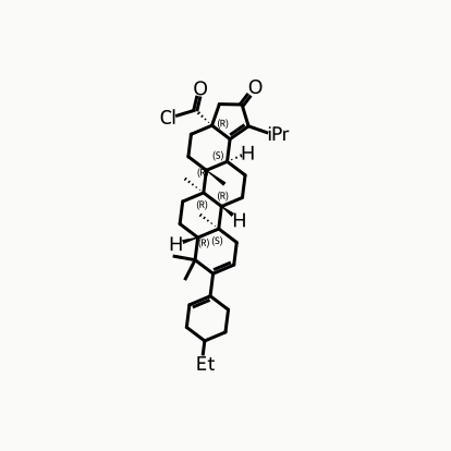 CCC1CC=C(C2=CC[C@]3(C)[C@H]4CC[C@@H]5C6=C(C(C)C)C(=O)C[C@]6(C(=O)Cl)CC[C@@]5(C)[C@]4(C)CC[C@H]3C2(C)C)CC1